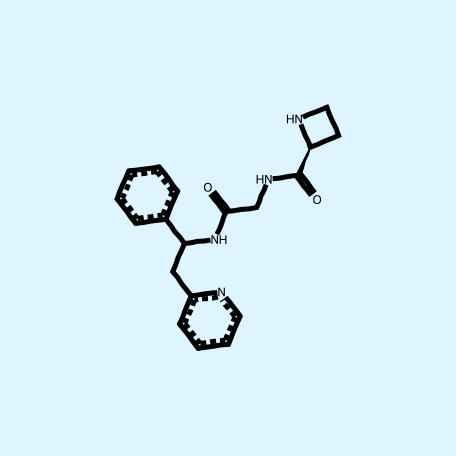 O=C(CNC(=O)[C@@H]1CCN1)NC(Cc1ccccn1)c1ccccc1